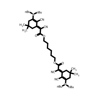 CCCCN(CCCC)C1=C(C#N)/C(=C(\C#N)C(=O)OCCCCCCOC(=O)/C(C#N)=C2\CC(C)(C)CC(N(CCCC)CCCC)=C2C#N)CC(C)(C)C1